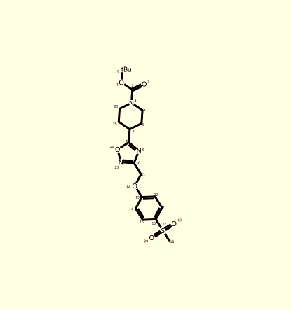 CC(C)(C)OC(=O)N1CCC(c2nc(COc3ccc(S(C)(=O)=O)cc3)no2)CC1